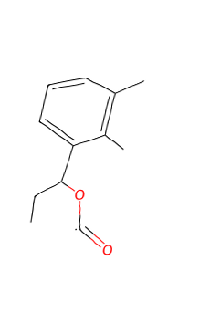 CCC(O[C]=O)c1cccc(C)c1C